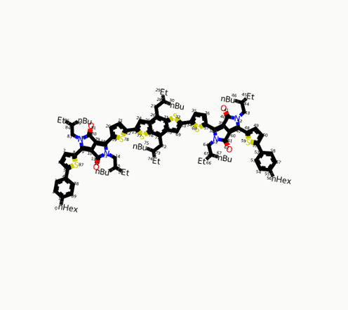 CCCCCCc1ccc(-c2ccc(C3=C4C(=O)N(CC(CC)CCCC)C(c5ccc(-c6cc7c(CC(CC)CCCC)c8sc(-c9ccc(C%10=C%11C(=O)N(CC(CC)CCCC)C(c%12ccc(-c%13ccc(CCCCCC)cc%13)s%12)=C%11C(=O)N%10CC(CC)CCCC)s9)cc8c(CC(CC)CCCC)c7s6)s5)=C4C(=O)N3CC(CC)CCCC)s2)cc1